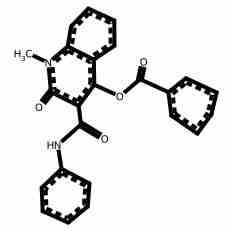 Cn1c(=O)c(C(=O)Nc2ccccc2)c(OC(=O)c2ccccc2)c2ccccc21